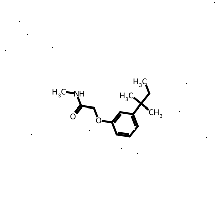 CCC(C)(C)c1cccc(OCC(=O)NC)c1